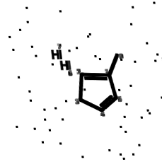 CC1=CCC=C1.I.I